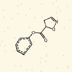 O=C(Oc1ccccc1)C1CC=NO1